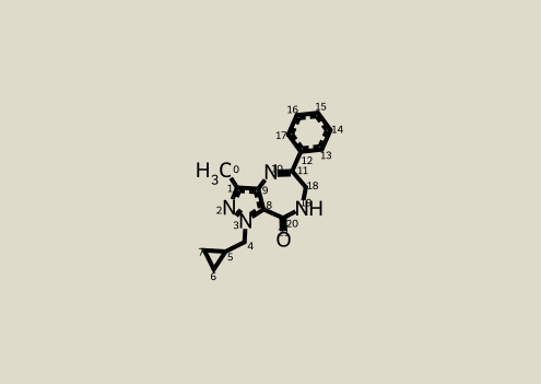 Cc1nn(CC2CC2)c2c1N=C(c1ccccc1)CNC2=O